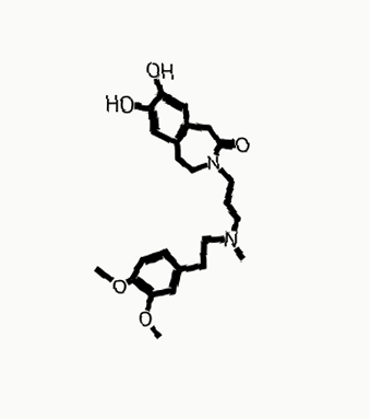 COc1ccc(CCN(C)CCCN2CCc3cc(O)c(O)cc3CC2=O)cc1OC